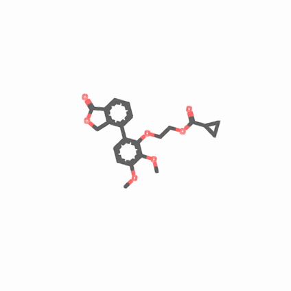 COc1ccc(-c2cccc3c2COC3=O)c(OCCOC(=O)C2CC2)c1OC